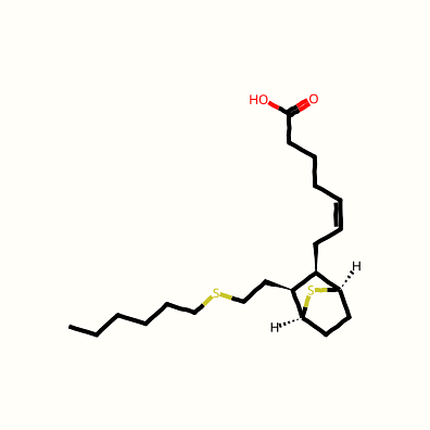 CCCCCCSCC[C@H]1[C@@H](C/C=C\CCCC(=O)O)[C@H]2CC[C@@H]1S2